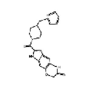 O=C1COc2cc3[nH]c(C(=O)N4CCC(Cc5ccccc5)CC4)cc3cc2N1